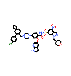 O=C(NS(=O)(=O)c1cc([N+](=O)[O-])c2cnn(CC3CCOCC3)c2c1)c1ccc(N2CCN(CC3=C(c4ccc(Cl)cc4)CC4(CCC4)CC3)CC2)cc1Oc1cnc2[nH]ccc2c1